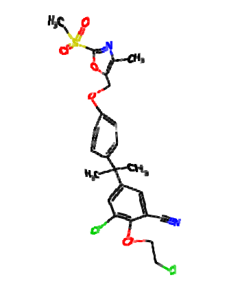 Cc1nc(S(C)(=O)=O)oc1COc1ccc(C(C)(C)c2cc(Cl)c(OCCCl)c(C#N)c2)cc1